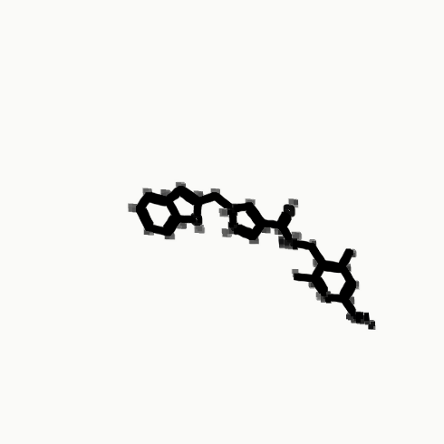 Cc1cc(N)nc(C)c1CNC(=O)c1cnn(Cc2cc3ccccc3o2)c1